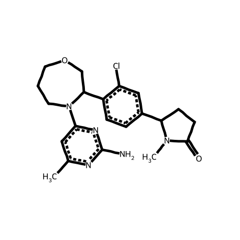 Cc1cc(N2CCCOCC2c2ccc(C3CCC(=O)N3C)cc2Cl)nc(N)n1